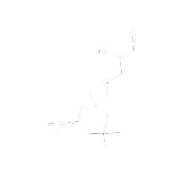 CC1(C)CC(N)CC(C)(COCC(Cl)CCl)C1